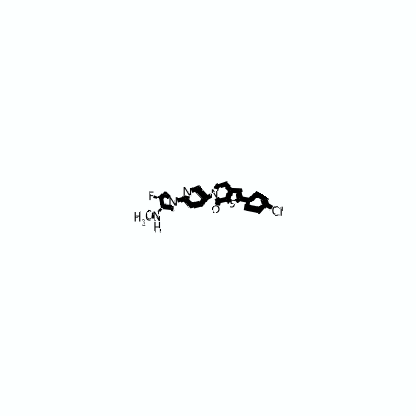 CN[C@@H]1CN(c2ccc(N3CCc4cc(-c5ccc(Cl)cc5)sc4C3=O)cn2)C[C@@H]1F